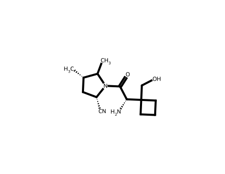 CC1[C@@H](C)C[C@@H](C#N)N1C(=O)[C@@H](N)C1(CO)CCC1